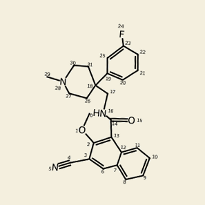 COc1c(C#N)cc2ccccc2c1C(=O)NCC1(c2cccc(F)c2)CCN(C)CC1